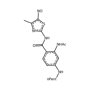 CCCCCNc1ccc(C(=O)Nc2nc(C)c(N=O)s2)c(NC(C)=O)c1